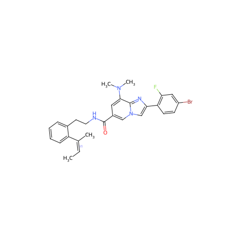 C/C=C(/C)c1ccccc1CCNC(=O)c1cc(N(C)C)c2nc(-c3ccc(Br)cc3F)cn2c1